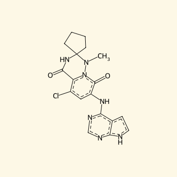 CN1n2c(c(Cl)cc(Nc3ncnc4[nH]ccc34)c2=O)C(=O)NC12CCCC2